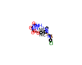 C[C@H](N)C(=O)N[C@@H](C)C(=O)N[C@@H](C)C(=O)OCCOc1ccc(-c2c(C#N)c(SCc3csc(-c4ccc(Cl)cc4)n3)nc(N3CCCC3)c2C#N)cc1